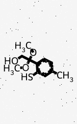 COC(CO)(OC)c1ccc(C)cc1S